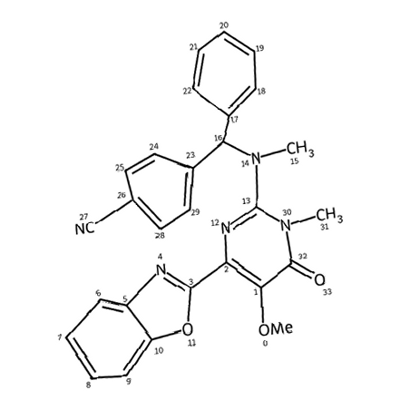 COc1c(-c2nc3ccccc3o2)nc(N(C)C(c2ccccc2)c2ccc(C#N)cc2)n(C)c1=O